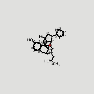 C[C@H](O)CN1CCC23c4cc(O)ccc4CC1C21CCC2C3[C@@H](CN2c2ccccn2)C1